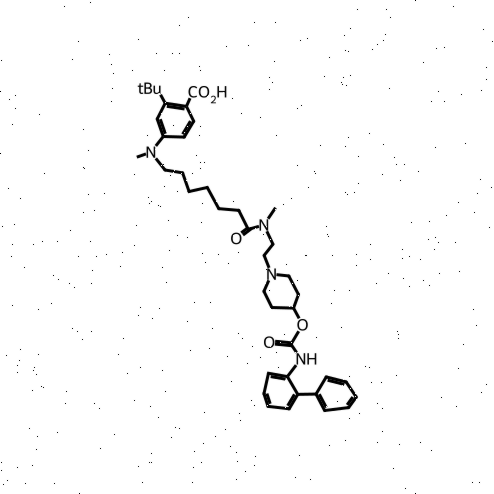 CN(CCN1CCC(OC(=O)Nc2ccccc2-c2ccccc2)CC1)C(=O)CCCCCCN(C)c1ccc(C(=O)O)c(C(C)(C)C)c1